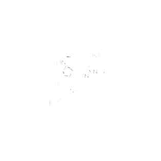 CCCN(CC1CCN(C(=O)N2CCOCC2)CC1)C(C)Cc1ccc(NC(=O)C2CCCCC2)cc1.Cl